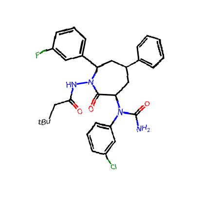 CC(C)(C)CC(=O)NN1C(=O)C(N(C(N)=O)c2cccc(Cl)c2)CC(c2ccccc2)CC1c1cccc(F)c1